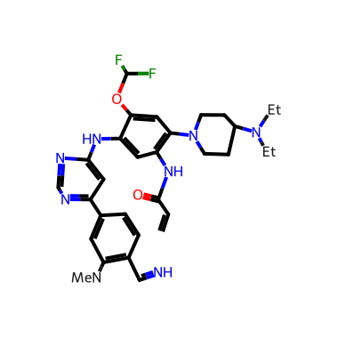 C=CC(=O)Nc1cc(Nc2cc(-c3ccc(C=N)c(NC)c3)ncn2)c(OC(F)F)cc1N1CCC(N(CC)CC)CC1